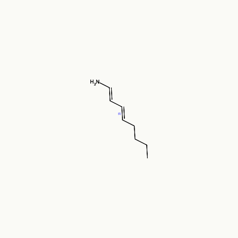 CCCC/C=C/C=CN